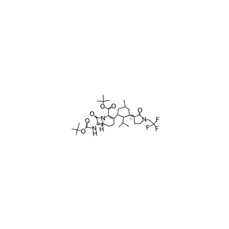 CC1C/C(=C2/CCN(CC(F)(F)F)C2=O)C(C(C)C)C(C2=C(C(=O)OC(C)(C)C)N3C(=O)[C@@H](NC(=O)OC(C)(C)C)[C@H]3CC2)C1